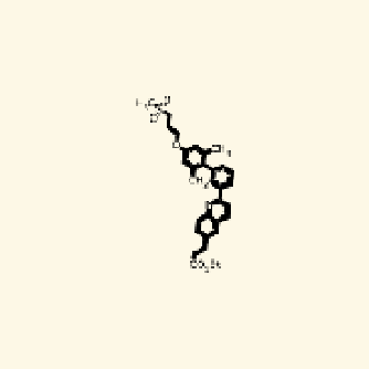 CCOC(=O)CCc1ccc2nc(-c3cccc(-c4c(C)cc(OCCCS(C)(=O)=O)cc4C)c3)ccc2c1